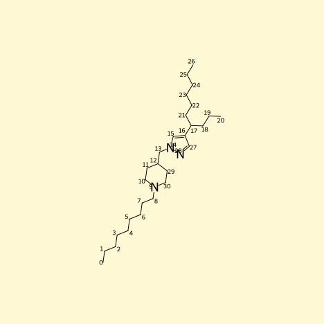 CCCCCCCCCN1CCC(Cn2cc(C(CCC)CCCCCC)cn2)CC1